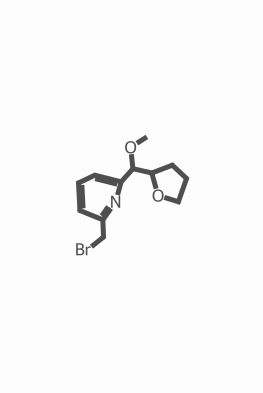 COC(c1cccc(CBr)n1)C1CCCO1